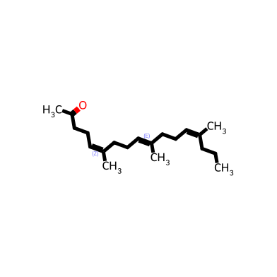 CCCC(C)=CCC/C(C)=C/CC/C(C)=C\CCC(C)=O